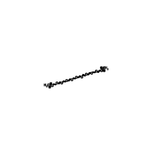 CS(=O)(=O)OCCOCCOCCOCCOCCOCCOCCOCCOCCOCCOS(C)(=O)=O